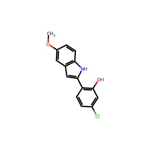 COc1ccc2[nH]c(-c3ccc(Cl)cc3O)cc2c1